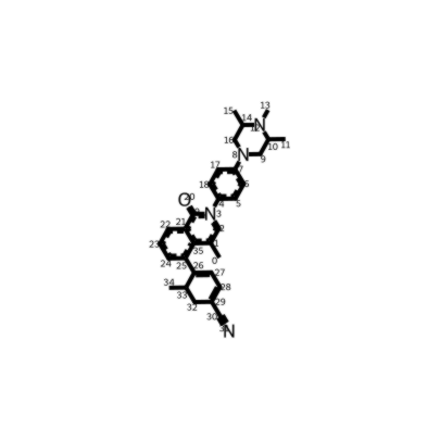 Cc1cn(-c2ccc(N3CC(C)N(C)C(C)C3)cc2)c(=O)c2cccc(C3=CC=C(C#N)CC3C)c12